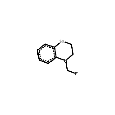 FCN1CC[Se]c2ccccc21